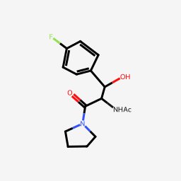 CC(=O)NC(C(=O)N1CCCC1)C(O)c1ccc(F)cc1